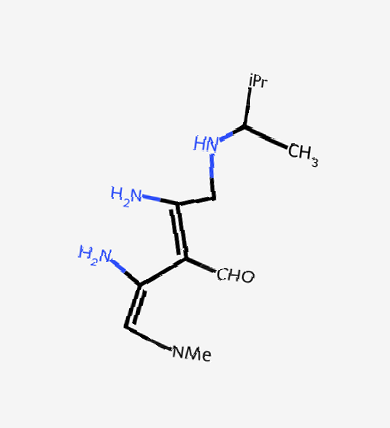 CN/C=C(N)\C(C=O)=C(/N)CNC(C)C(C)C